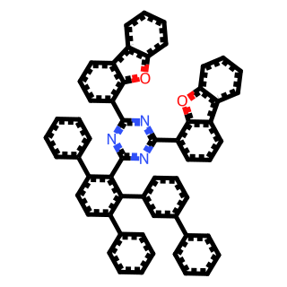 c1ccc(-c2cccc(-c3c(-c4ccccc4)ccc(-c4ccccc4)c3-c3nc(-c4cccc5c4oc4ccccc45)nc(-c4cccc5c4oc4ccccc45)n3)c2)cc1